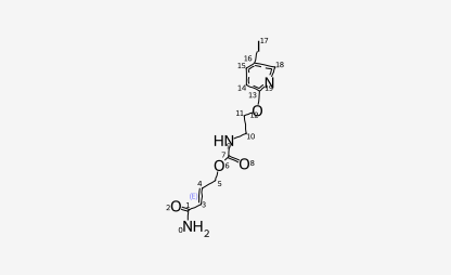 NC(=O)/C=C/COC(=O)NCCOc1ccc(I)cn1